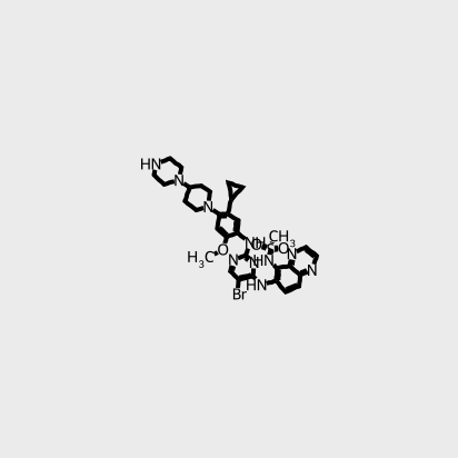 COc1cc(N2CCC(N3CCNCC3)CC2)c(C2CC2)cc1Nc1ncc(Br)c(Nc2ccc3nccnc3c2NS(C)(=O)=O)n1